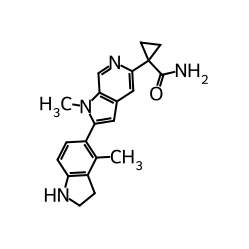 Cc1c(-c2cc3cc(C4(C(N)=O)CC4)ncc3n2C)ccc2c1CCN2